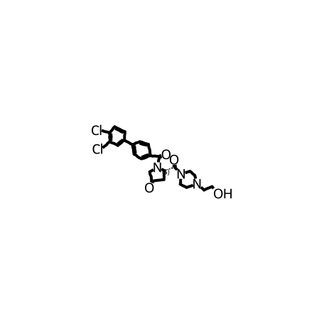 O=C1C[C@@H](C(=O)N2CCN(CCO)CC2)N(C(=O)c2ccc(-c3ccc(Cl)c(Cl)c3)cc2)C1